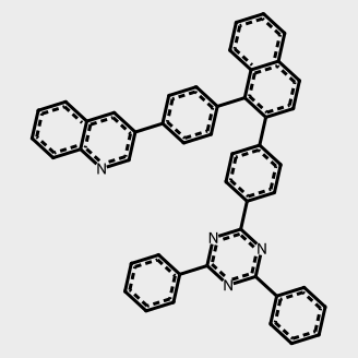 c1ccc(-c2nc(-c3ccccc3)nc(-c3ccc(-c4ccc5ccccc5c4-c4ccc(-c5cnc6ccccc6c5)cc4)cc3)n2)cc1